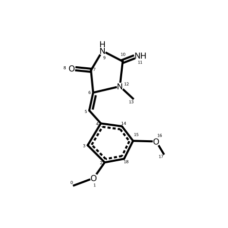 COc1cc(C=C2C(=O)NC(=N)N2C)cc(OC)c1